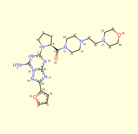 Nc1nc(N2CCC[C@H]2C(=O)N2CCN(CCN3CCOCC3)CC2)nc2nc(-c3ccco3)nn12